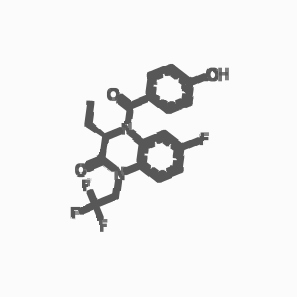 CC[C@@H]1C(=O)N(CC(F)(F)F)c2ccc(F)cc2N1C(=O)c1ccc(O)cc1